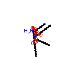 CCCCCCCCCCCC(=O)OCC(CN(CCCCC(N)C(=O)OC)CC(COC(=O)CCCCCCCCCCC)OC(=O)CCCCCCCCCCC)OC(=O)CCCCCCCCCCC